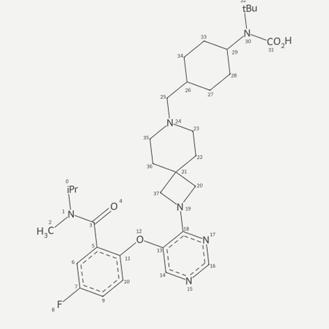 CC(C)N(C)C(=O)c1cc(F)ccc1Oc1cncnc1N1CC2(CCN(CC3CCC(N(C(=O)O)C(C)(C)C)CC3)CC2)C1